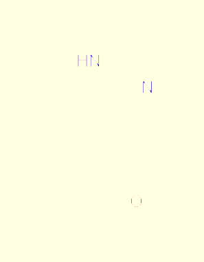 O=C1C=NNC=CC1